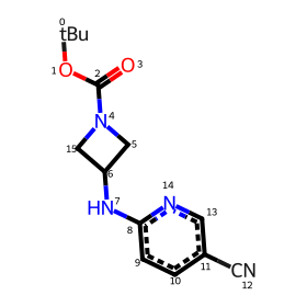 CC(C)(C)OC(=O)N1CC(Nc2ccc(C#N)cn2)C1